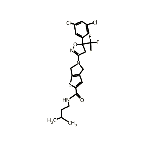 CC(C)CCNC(=O)c1cc2c(s1)CN(C1=NOC(c3cc(Cl)cc(Cl)c3)(C(F)(F)F)C1)C2